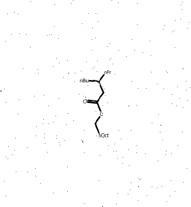 CCCCCCCCCOC(=O)CC(CCC)CCCC